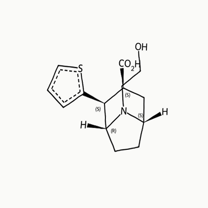 O=C(O)[C@H]1C[C@@H]2CC[C@H]([C@H]1c1cccs1)N2CCO